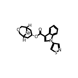 O=C(O[C@H]1C[C@H]2COC[C@@H](C1)N2)c1cn(-c2cnsc2)c2ccccc12